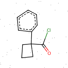 O=C(Cl)C1(c2ccccc2)CCC1